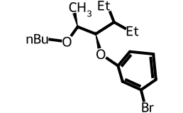 CCCCO[C@@H](C)[C@H](Oc1cccc(Br)c1)C(CC)CC